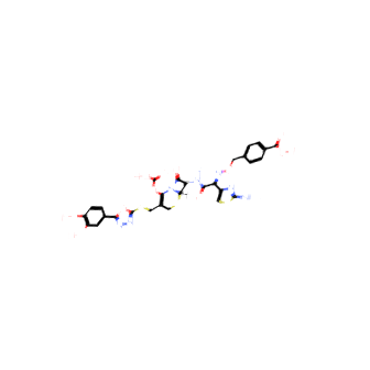 Nc1nc(C(=NOCc2ccc(C(=O)O)cc2)C(=O)N[C@@H]2C(=O)N3C(OC(=O)O)=C(CSc4nnc(-c5ccc(O)c(O)c5)o4)CS[C@@H]23)cs1